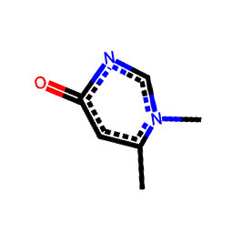 Cc1cc(=O)ncn1C